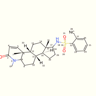 CN1C(=O)C=C[C@@]2(C)C1CC[C@@H]1[C@H]2CC[C@]2(C)C(NS(=O)(=O)c3ccccc3C#N)CC[C@@H]12